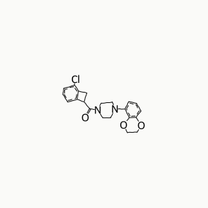 O=C(C1Cc2c(Cl)cccc21)N1CCN(c2cccc3c2OCCO3)CC1